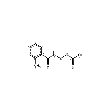 Cc1ccccc1C(=O)NCCC(=O)O